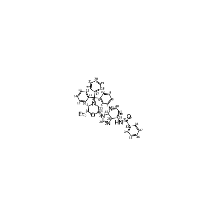 CC[C@@H]1CN(C(c2ccccc2)(c2ccccc2)c2ccccc2)C[C@H](N2C=NC3C(NC(=O)c4ccccc4)=NC=NC32)O1